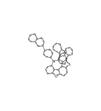 c1ccc2cc(-c3ccc(N(c4cccc5oc6ccccc6c45)c4cccc5oc6ccc7sc8c9ccccc9ccc8c7c6c45)cc3)ccc2c1